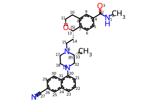 CNC(=O)c1ccc2c(c1)CCO[C@H]2CCN1CCN(c2cccc3cc(C#N)ccc23)C[C@H]1C